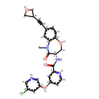 CN1C(=O)[C@@H](NC(=O)c2cc(Oc3cncc(F)c3)ccn2)COc2ccc(C#CC3COC3)cc21